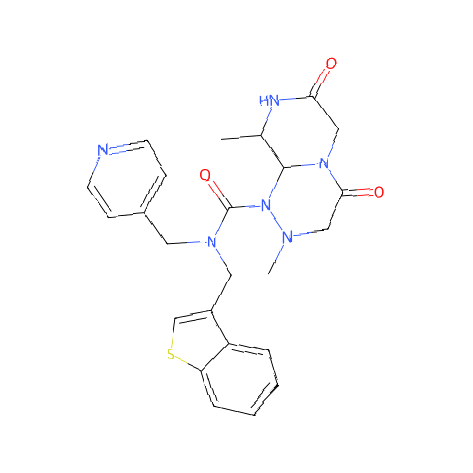 CC1NC(=O)CN2C(=O)CN(C)N(C(=O)N(Cc3ccncc3)Cc3csc4ccccc34)C12